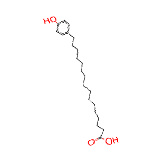 O=C(O)CCCCCCCCCCCCCCCc1ccc(O)cc1